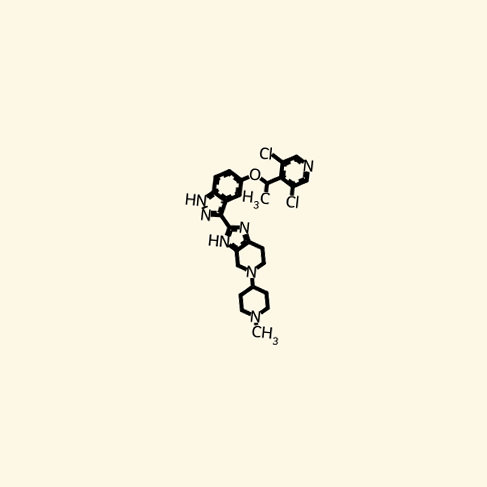 CC(Oc1ccc2[nH]nc(-c3nc4c([nH]3)CN(C3CCN(C)CC3)CC4)c2c1)c1c(Cl)cncc1Cl